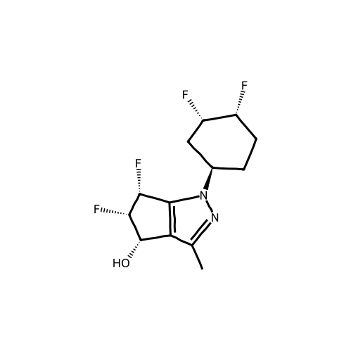 Cc1nn([C@@H]2CC[C@@H](F)[C@@H](F)C2)c2c1[C@H](O)[C@H](F)[C@@H]2F